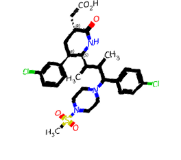 CC(C(C)[C@@H]1NC(=O)[C@@H](CC(=O)O)C[C@@H]1c1cccc(Cl)c1)C(c1ccc(Cl)cc1)N1CCN(S(C)(=O)=O)CC1